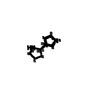 c1cn([C@H]2CCCN2)cn1